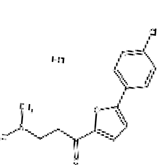 CN(C)CCC(=O)c1ccc(-c2ccc(Cl)cc2)o1.Cl